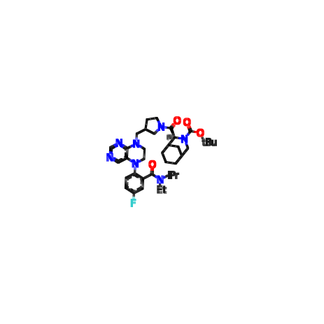 CCN(C(=O)c1cc(F)ccc1N1CCN(CC2CCN(C(=O)[C@@H]3C4CCCC(C4)CN3C(=O)OC(C)(C)C)C2)c2ncncc21)C(C)C